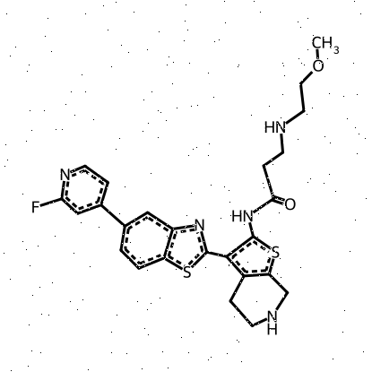 COCCNCCC(=O)Nc1sc2c(c1-c1nc3cc(-c4ccnc(F)c4)ccc3s1)CCNC2